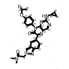 CN(C)C(=O)Cn1cc2cc(-c3nc4cnc(NC5CC5)nc4n(-c4ccc(OC(F)F)cc4)c3=O)ccc2n1